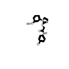 COc1cccc(-n2ccnc2SCC(=O)Nc2ccc(Cl)cc2)c1